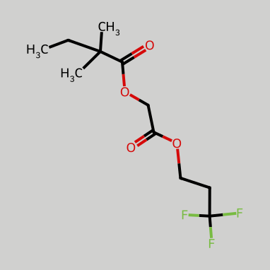 CCC(C)(C)C(=O)OCC(=O)OCCC(F)(F)F